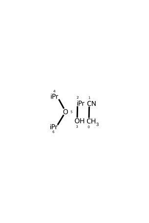 CC#N.CC(C)O.CC(C)OC(C)C